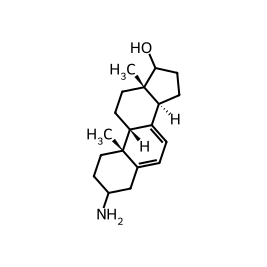 C[C@]12CCC(N)CC1=CC=C1[C@H]2CC[C@]2(C)C(O)CC[C@@H]12